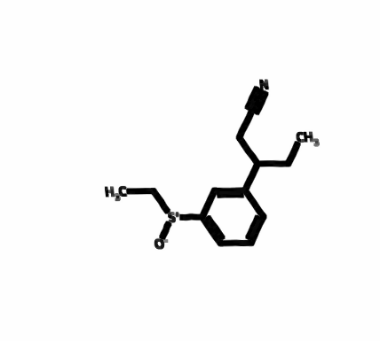 CCC(CC#N)c1cccc([S+]([O-])CC)c1